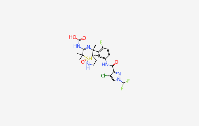 CC1(C)C(NC(=O)O)=N[C@](C)(c2cc(NC(=O)c3nn(C(F)F)cc3Cl)ccc2F)[C@@H]2CCN[SH]21=O